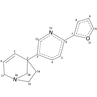 C1=CC2(c3ccc(-c4ccco4)nc3)CCN(C1)C2